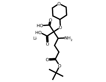 CC(C)(C)OC(=O)CCC(N)C(OC1CCOCC1)(C(=O)O)C(=O)O.[Li]